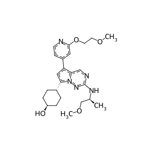 COCCOc1cc(-c2cc([C@H]3CC[C@H](O)CC3)n3nc(N[C@@H](C)COC)ncc23)ccn1